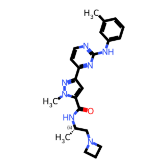 Cc1cccc(Nc2nccc(-c3cc(C(=O)N[C@@H](C)CN4CCC4)n(C)n3)n2)c1